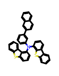 c1cc(-c2ccc3ccccc3c2)cc(N(c2cccc3c2sc2ccccc23)c2cccc3sc4ccccc4c23)c1